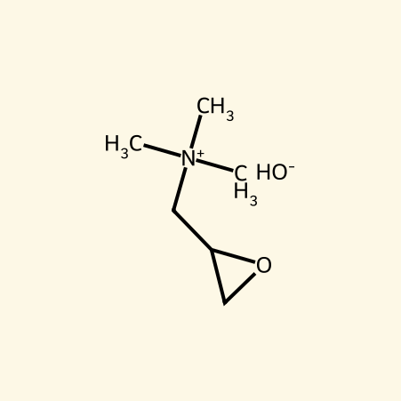 C[N+](C)(C)CC1CO1.[OH-]